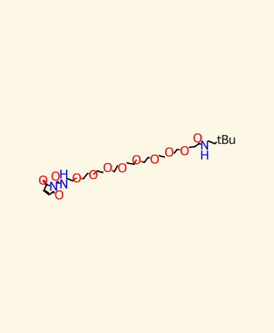 CC(C)(C)CCNC(=O)CCOCCOCCOCCOCCOCCOCCOCCOCCNC(=O)N1C(=O)C=CC1=O